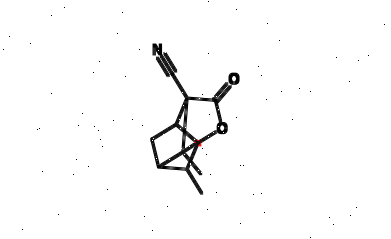 CC1C2OC(=O)C3(C#N)C2CC1C3(C)C